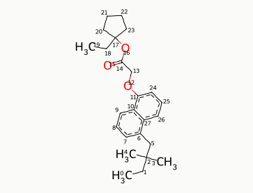 CCC(C)(C)Cc1cccc2c(OCC(=O)OC3(CC)CCCC3)cccc12